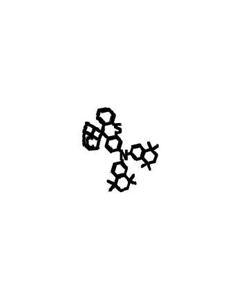 CC1(C)CCC(C)(C)c2cc(N(c3ccc4c(c3)Sc3ccccc3C43C4CC5CC6CC3C64C5)c3ccc4c(c3)C(C)(C)CCC4(C)C)ccc21